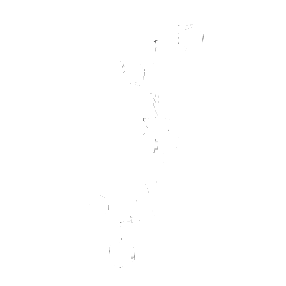 O=C(Oc1ccccc1NC(Cc1ccc(OCCCNC(c2ccccc2)c2cccs2)cc1)C(=O)O)c1ccccc1